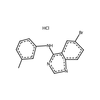 Cc1cccc(Nc2ncnc3ccc(Br)cc23)c1.Cl